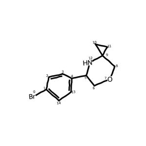 Brc1ccc(C2COCC3(CC3)N2)cc1